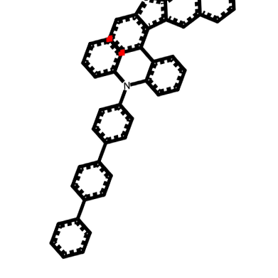 c1ccc(-c2ccc(-c3ccc(N(c4ccccc4)c4ccccc4-c4cccc5oc6cc7ccccc7cc6c45)cc3)cc2)cc1